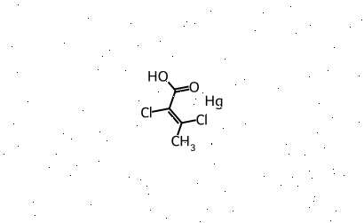 C/C(Cl)=C(\Cl)C(=O)O.[Hg]